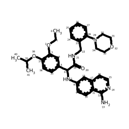 CCOc1cc(C(Nc2ccc3c(N)nccc3c2)C(=O)NCc2ccccc2N2CCOCC2)ccc1OC(C)C